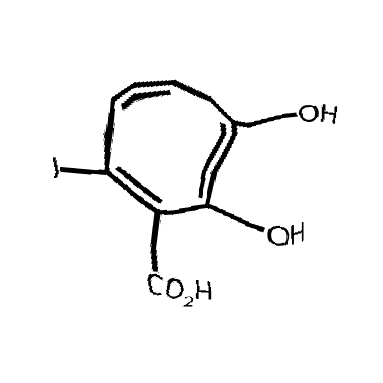 O=C(O)c1c(I)ccc(O)c1O